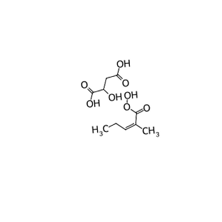 CCC=C(C)C(=O)OO.O=C(O)CC(O)C(=O)O